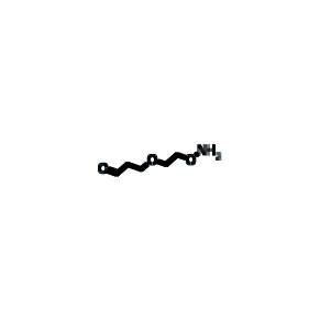 NOCCOCCC=O